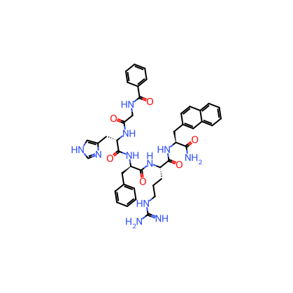 N=C(N)NCCC[C@H](NC(=O)[C@@H](Cc1ccccc1)NC(=O)[C@H](Cc1c[nH]cn1)NC(=O)CNC(=O)c1ccccc1)C(=O)N[C@@H](Cc1ccc2ccccc2c1)C(N)=O